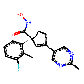 Cc1ncc(C2=C[C@](C(=O)NO)(c3cccc(F)c3C)CC2)cn1